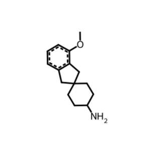 COc1cccc2c1CC1(CCC(N)CC1)C2